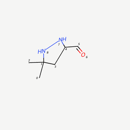 CC1(C)CC(C=O)NN1